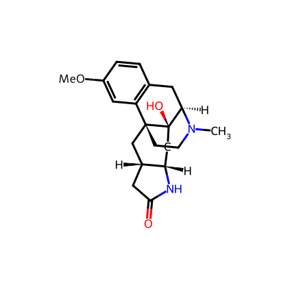 COc1ccc2c(c1)[C@]13CCN(C)[C@H](C2)[C@]1(O)C[C@@H]1NC(=O)C[C@@H]1C3